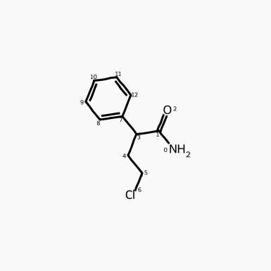 NC(=O)C(C[CH]Cl)c1ccccc1